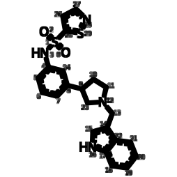 O=S(=O)(Nc1cccc(C2CCN(Cc3c[nH]c4ccccc34)C2)c1)c1ccns1